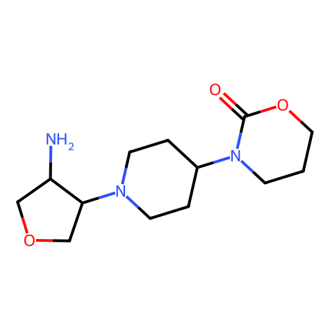 NC1COCC1N1CCC(N2CCCOC2=O)CC1